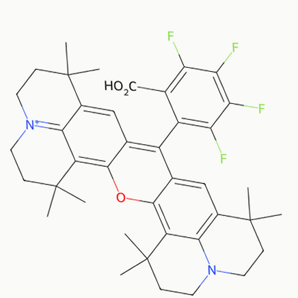 CC1(C)CCN2CCC(C)(C)c3c4c(cc1c32)C(c1c(F)c(F)c(F)c(F)c1C(=O)O)=c1cc2c3c(c1O4)C(C)(C)CC[N+]=3CCC2(C)C